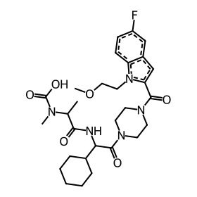 COCCn1c(C(=O)N2CCN(C(=O)C(NC(=O)C(C)N(C)C(=O)O)C3CCCCC3)CC2)cc2cc(F)ccc21